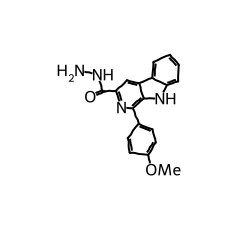 COc1ccc(-c2nc(C(=O)NN)cc3c2[nH]c2ccccc23)cc1